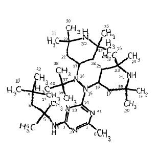 Cc1nc(NC(C)(C)CC(C)(C)C)nc(N(C2CC(C)(C)NC(C)(C)C2)N(C2CC(C)(C)NC(C)(C)C2)C(C)(C)C)n1